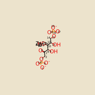 O=C(COP(=O)([O-])[O-])C(O)C(O)C(O)COP(=O)([O-])[O-].[Zn+2].[Zn+2]